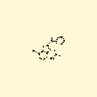 CC(O)Cn1c(Nc2ccccc2)cc2c(Br)cccc21